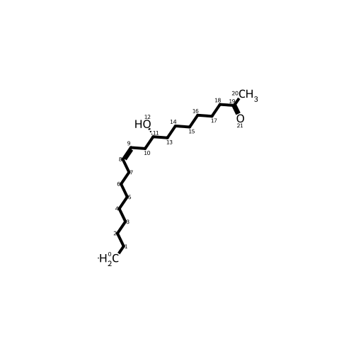 [CH2]CCCCCCC/C=C\C[C@H](O)CCCCCCC(C)=O